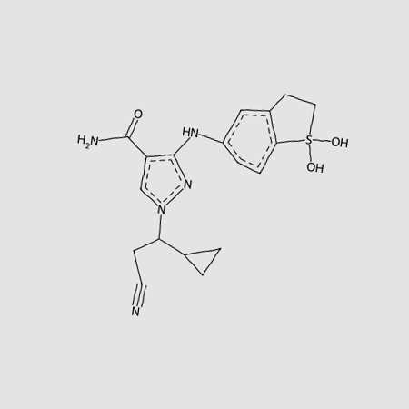 N#CCC(C1CC1)n1cc(C(N)=O)c(Nc2ccc3c(c2)CCS3(O)O)n1